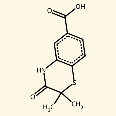 CC1(C)Sc2ccc(C(=O)O)cc2NC1=O